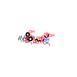 Cc1ccc(O)c2c1[C@]13CCN(C)[C@H](C)[C@]1(O)CC=C(OC(=O)[C@H](O)[C@@H](O)C(=O)O[C@@H](C)C(=O)N[C@@H](CC(=O)O)C(=O)O)[C@@H]3O2